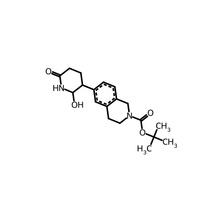 CC(C)(C)OC(=O)N1CCc2cc(C3CCC(=O)NC3O)ccc2C1